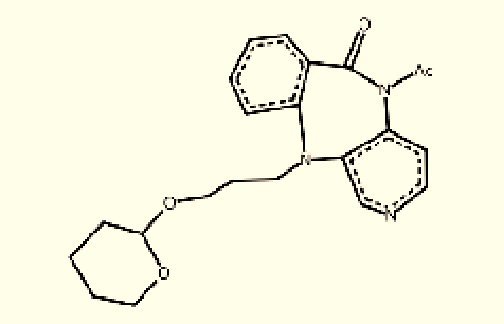 CC(=O)N1C(=O)c2ccccc2N(CCCOC2CCCCO2)c2cnccc21